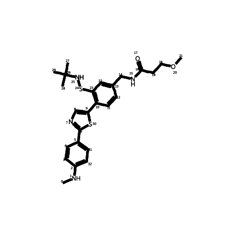 CNc1ccc(-c2ncc(-c3ccc(CNC(=O)CCOC)cc3SNC(C)(C)C)s2)cc1